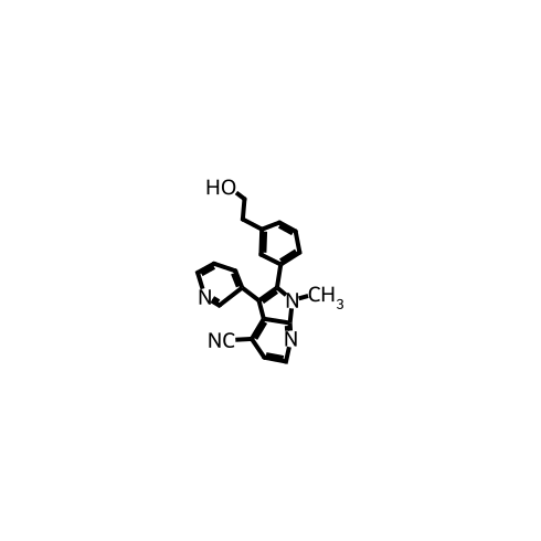 Cn1c(-c2cccc(CCO)c2)c(-c2cccnc2)c2c(C#N)ccnc21